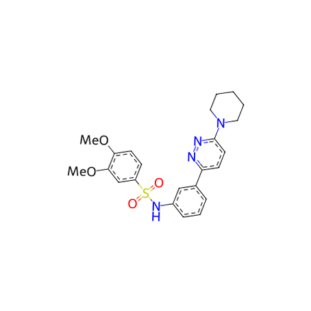 COc1ccc(S(=O)(=O)Nc2cccc(-c3ccc(N4CCCCC4)nn3)c2)cc1OC